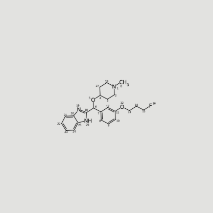 CN1CCC(OC(c2cccc(OCCCF)c2)c2nc3ccccc3[nH]2)CC1